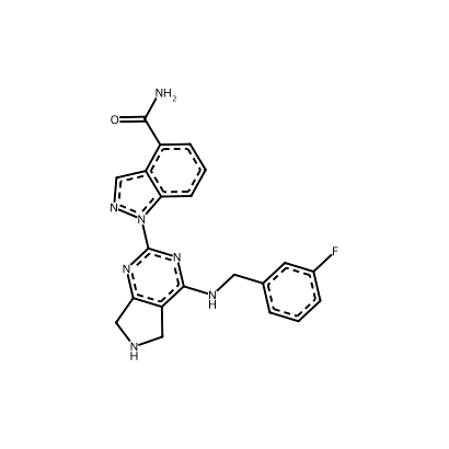 NC(=O)c1cccc2c1cnn2-c1nc2c(c(NCc3cccc(F)c3)n1)CNC2